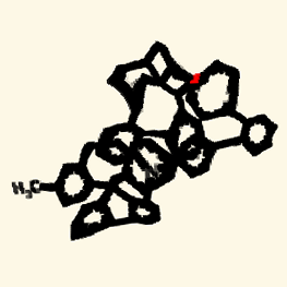 Cc1ccc2c(c1)CCc1cc(C(C)C)ccc1C21c2ccccc2-c2cccc(N(c3ccc(-c4ccccc4-c4ccccc4)cc3)c3cccc4c3-c3ccccc3C3CC5CC6CC4CC653)c21